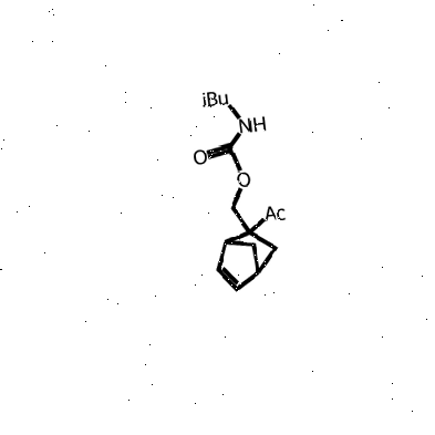 CCC(C)NC(=O)OCC1(C(C)=O)CC2C=CC1C2